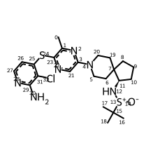 Cc1nc(N2CCC3(CCC[C@H]3N[S@+]([O-])C(C)(C)C)CC2)cnc1Sc1ccnc(N)c1Cl